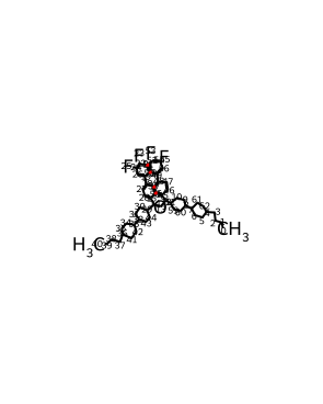 CCCCC1CCC(C2CCC(C(OC(c3ccc(-c4ccc(F)c(F)c4)cc3)C3CCC(C4CCC(CCCC)CC4)CC3)c3ccc(-c4ccc(F)c(F)c4)cc3)CC2)CC1